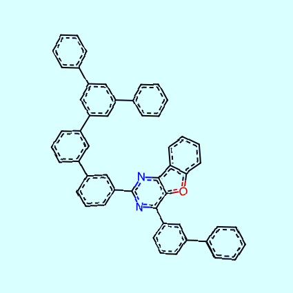 c1ccc(-c2cc(-c3ccccc3)cc(-c3cccc(-c4cccc(-c5nc(-c6cccc(-c7ccccc7)c6)c6oc7ccccc7c6n5)c4)c3)c2)cc1